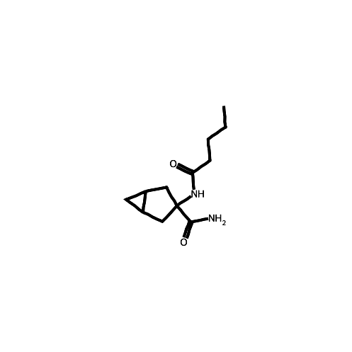 CCCCC(=O)NC1(C(N)=O)CC2CC2C1